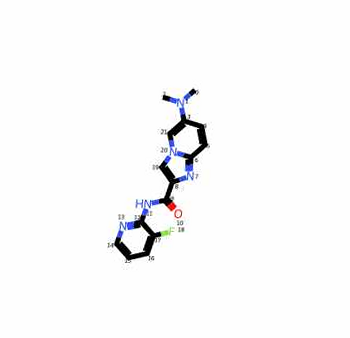 CN(C)c1ccc2nc(C(=O)Nc3ncccc3F)cn2c1